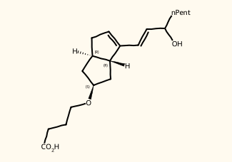 CCCCCC(O)C=CC1=CC[C@@H]2C[C@H](OCCCC(=O)O)C[C@@H]12